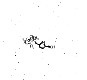 C#Cc1ccc(CO[Si](C)(C)C(C)(C)C)cn1